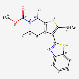 CC(=O)Nc1sc2c(c1-c1nc3ccccc3s1)CC(C)N(C(=O)OC(C)(C)C)C2C